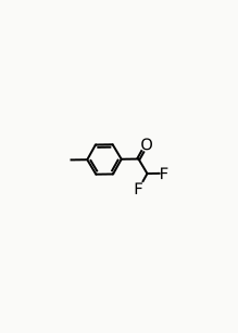 Cc1ccc(C(=O)C(F)F)cc1